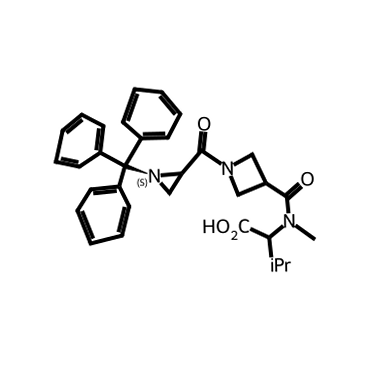 CC(C)C(C(=O)O)N(C)C(=O)C1CN(C(=O)C2C[N@@]2C(c2ccccc2)(c2ccccc2)c2ccccc2)C1